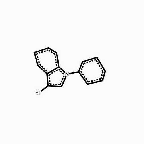 CCc1cn(-c2ccccc2)c2ccccc12